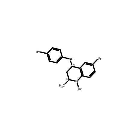 CC(=O)N1c2ccc(C(C)C)cc2[C@H](Nc2ccc(C(C)C)cc2)C[C@@H]1C